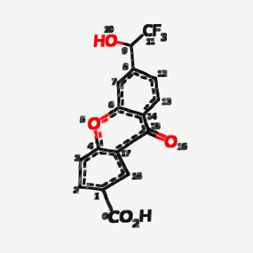 O=C(O)c1ccc2oc3cc(C(O)C(F)(F)F)ccc3c(=O)c2c1